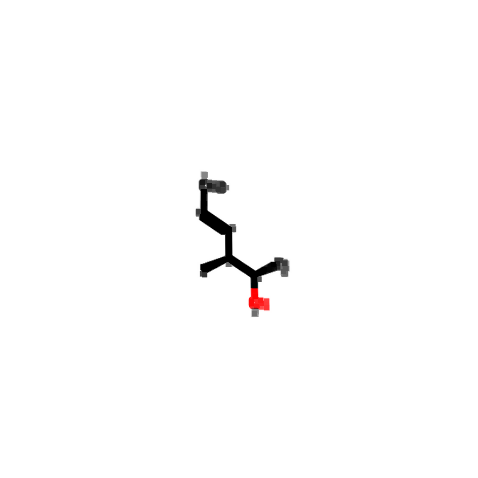 CC[C@@H](O)[C@@H](C)C=C[C]=O